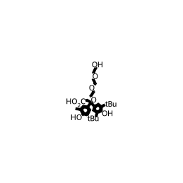 Cc1cc(C(CC(=O)O)(OCCOCCOCCO)c2cc(C)c(O)c(C(C)(C)C)c2)cc(C(C)(C)C)c1O